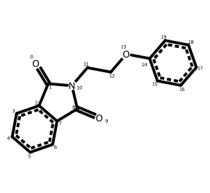 O=C1c2ccccc2C(=O)N1CCOc1cc[c]cc1